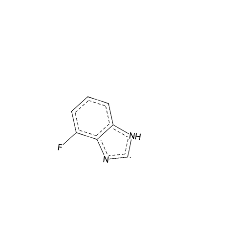 Fc1cccc2[nH][c]nc12